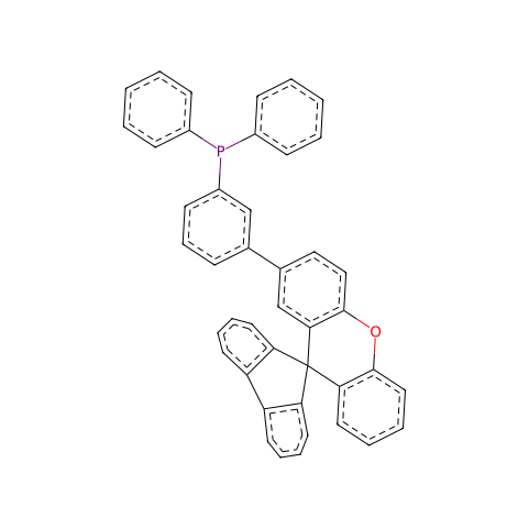 c1ccc(P(c2ccccc2)c2cccc(-c3ccc4c(c3)C3(c5ccccc5O4)c4ccccc4-c4ccccc43)c2)cc1